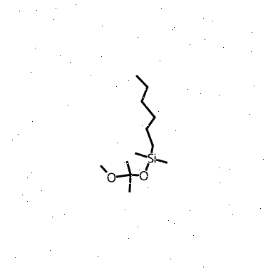 CCCCCC[Si](C)(C)OC(C)(C)OC